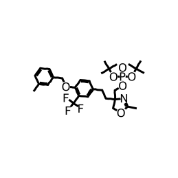 CC1=NC(CCc2ccc(OCc3cccc(C)c3)c(C(F)(F)F)c2)(COP(=O)(OC(C)(C)C)OC(C)(C)C)CO1